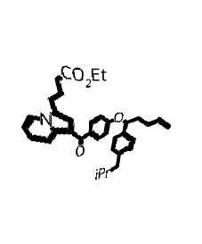 C=CCCC(Oc1ccc(C(=O)c2cc(CCCC(=O)OCC)n3ccccc23)cc1)c1ccc(CC(C)C)cc1